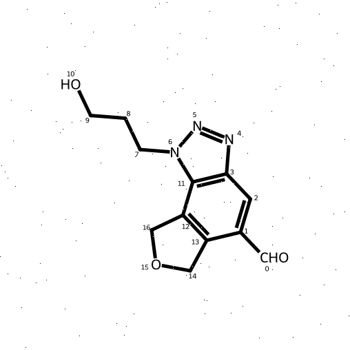 O=Cc1cc2nnn(CCCO)c2c2c1COC2